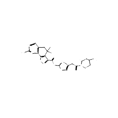 CC1(C)Cc2cnc(N)nc2-c2[nH]nc(C(=O)NC3NC(CC(=O)N4CCC(O)CC4)=CS3)c21